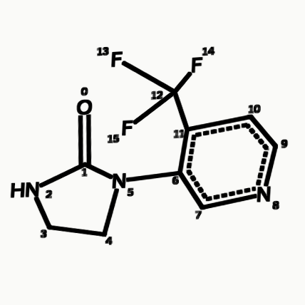 O=C1NCCN1c1cnccc1C(F)(F)F